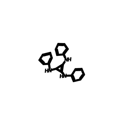 c1ccc(NC2=C(Nc3ccccc3)C2Nc2ccccc2)cc1